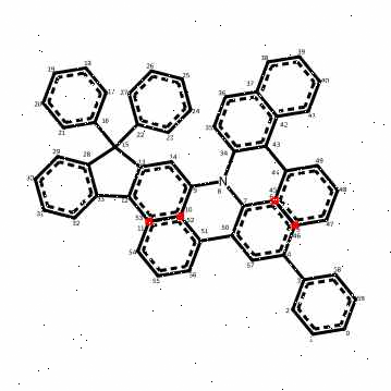 c1ccc(-c2ccc(N(c3ccc4c(c3)C(c3ccccc3)(c3ccccc3)c3ccccc3-4)c3ccc4ccccc4c3-c3ccccc3)c(-c3ccccc3)c2)cc1